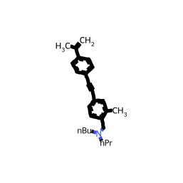 C=C(C)c1ccc(C#Cc2ccc(CN(CCC)CCCC)c(C)c2)cc1